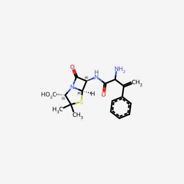 C=C(c1ccccc1)C(N)C(=O)N[C@@H]1C(=O)N2[C@@H]1SC(C)(C)[C@@H]2C(=O)O